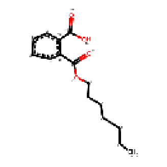 CCCCCCCOC(=O)c1ccccc1C(=O)O